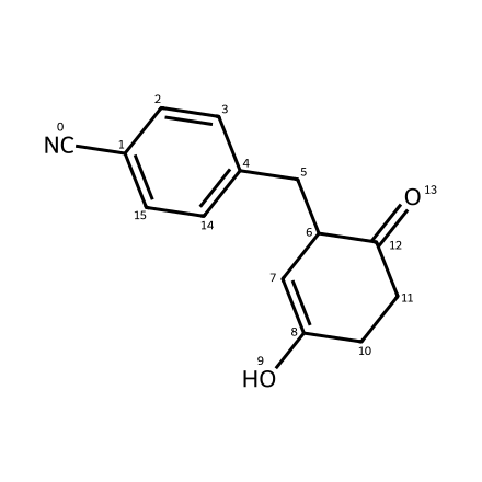 N#Cc1ccc(CC2C=C(O)CCC2=O)cc1